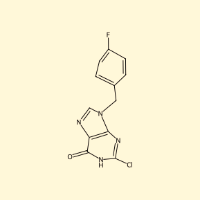 O=c1[nH]c(Cl)nc2c1ncn2Cc1ccc(F)cc1